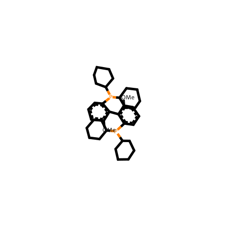 COc1cccc(P(C2CCCCC2)C2CCCCC2)c1-c1c(OC)cccc1P(C1CCCCC1)C1CCCCC1